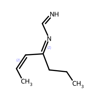 C/C=C\C(CCC)=N/C=N